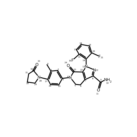 Cc1cc(N2CCc3c(C(N)=O)nn(-c4c(F)cccc4F)c3C2=O)ccc1N1CCCC1=O